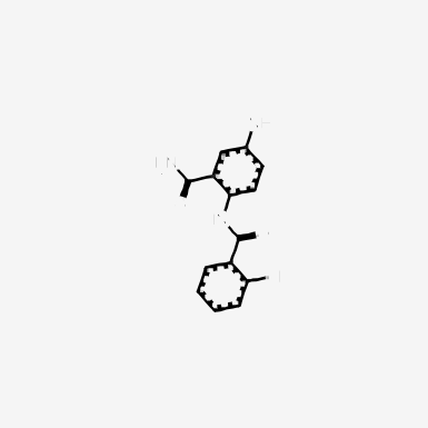 NC(=O)c1cc(N)ccc1NC(=O)c1ccccc1Cl